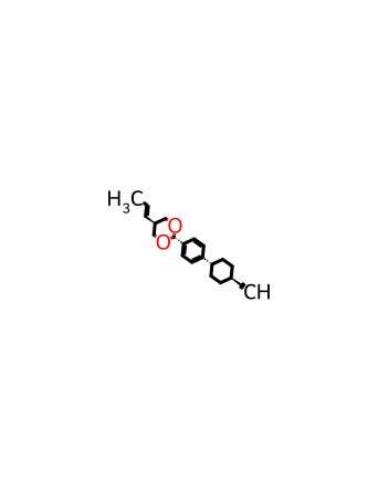 C#C[C@H]1CC[C@H](c2ccc([C@H]3OC[C@H](C=CC)CO3)cc2)CC1